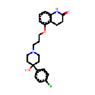 O=C1CCc2c(cccc2OCCCN2CCC(O)(c3ccc(Br)cc3)CC2)N1